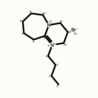 CCCC[N+]1=C2CCCCCN2CCC1.[Br-]